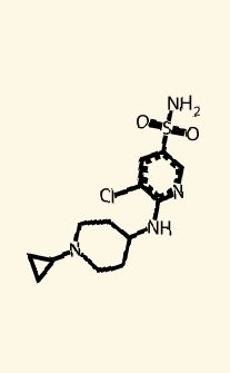 NS(=O)(=O)c1cnc(NC2CCN(C3CC3)CC2)c(Cl)c1